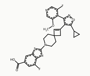 COc1cncc(F)c1-c1noc(C2CC2)c1C1=CC2(CCN(c3nc4c(F)cc(C(=O)O)cc4s3)CC2)C1